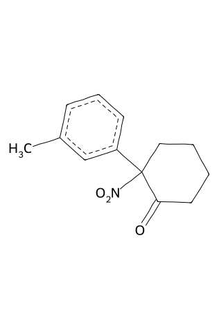 Cc1cccc(C2([N+](=O)[O-])CCCCC2=O)c1